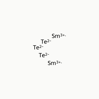 [Sm+3].[Sm+3].[Te-2].[Te-2].[Te-2]